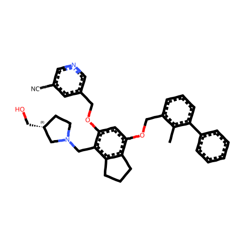 Cc1c(COc2cc(OCc3cncc(C#N)c3)c(CN3CC[C@@H](CO)C3)c3c2CCC3)cccc1-c1ccccc1